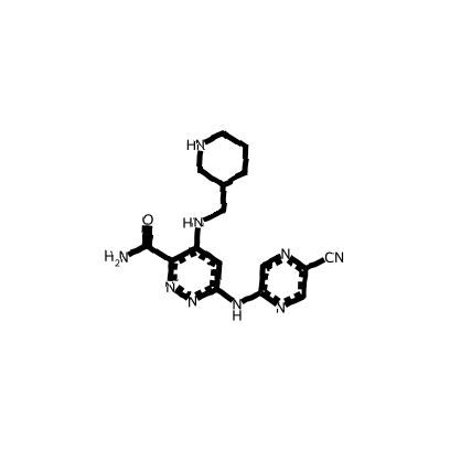 N#Cc1cnc(Nc2cc(NCC3CCCNC3)c(C(N)=O)nn2)cn1